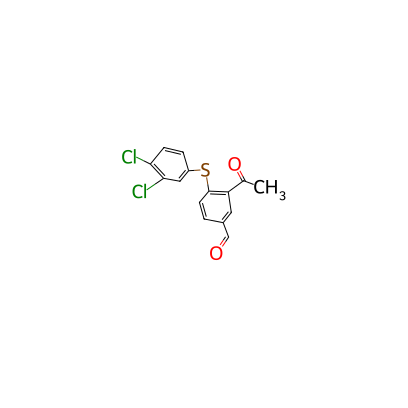 CC(=O)c1cc(C=O)ccc1Sc1ccc(Cl)c(Cl)c1